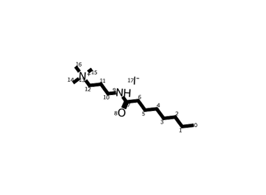 CCCCCCCC(=O)NCCC[N+](C)(C)C.[I-]